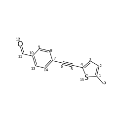 Cc1ccc(C#Cc2ccc(C=O)cc2)s1